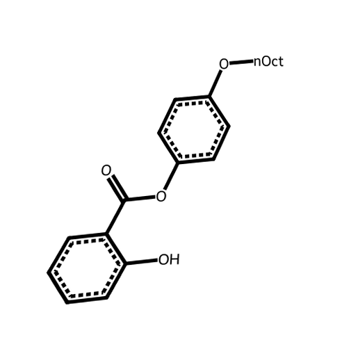 CCCCCCCCOc1ccc(OC(=O)c2ccccc2O)cc1